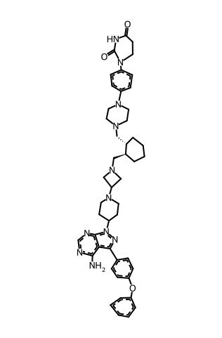 Nc1ncnc2c1c(-c1ccc(Oc3ccccc3)cc1)nn2C1CCN(C2CN(C[C@@H]3CCCC[C@H]3CN3CCN(c4ccc(N5CCC(=O)NC5=O)cc4)CC3)C2)CC1